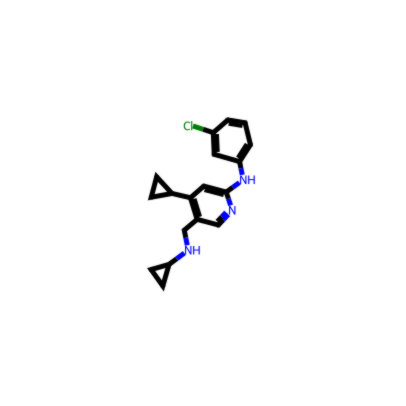 Clc1cccc(Nc2cc(C3CC3)c(CNC3CC3)cn2)c1